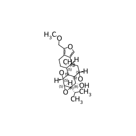 COCc1occ2c1CC[C@@]1(C)[C@H]2C[C@@H]2O[C@@]23[C@H](O)[C@@]2(C(C)C)O[C@H]2[C@@H]2O[C@@]231